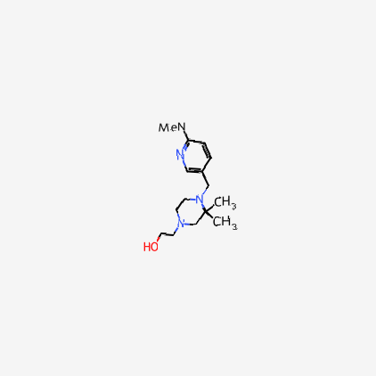 CNc1ccc(CN2CCN(CCO)CC2(C)C)cn1